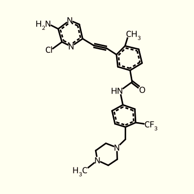 Cc1ccc(C(=O)Nc2ccc(CN3CCN(C)CC3)c(C(F)(F)F)c2)cc1C#Cc1cnc(N)c(Cl)n1